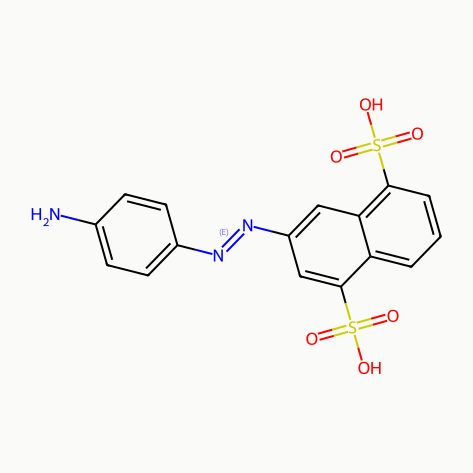 Nc1ccc(/N=N/c2cc(S(=O)(=O)O)c3cccc(S(=O)(=O)O)c3c2)cc1